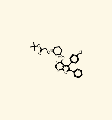 CC(C)(C)OC(=O)CO[C@@H]1CCC[C@H](Oc2ncnc3oc(-c4ccccc4)c(-c4ccc(Cl)cc4)c23)C1